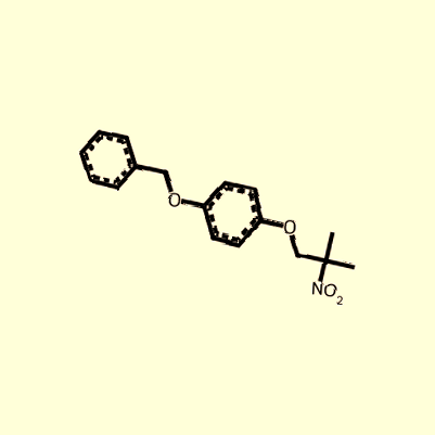 CC(C)(COc1ccc(OCc2ccccc2)cc1)[N+](=O)[O-]